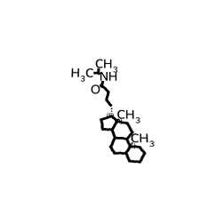 CC(C)NC(=O)CCC[C@H]1CCC2C3CCC4CCCC[C@]4(C)C3CC[C@@]21C